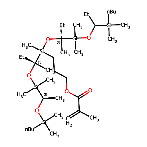 C=C(C)C(=O)OCCC[Si](C)(O[C@@](C)(CC)[Si](C)(C)OC(CC)[Si](C)(C)CCCC)[C@@](C)(CC)O[Si](C)(C)[C@@H](C)O[Si](C)(C)CCCC